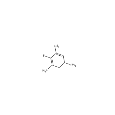 CC1=CC(C)CC(C)=C1F